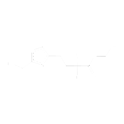 CCOC(=O)C(F)(F)CCc1coc(CC)n1